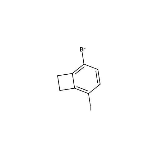 Brc1ccc(I)c2c1CC2